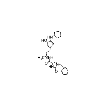 C[C@@H](CCc1ccc(NC2CCCCC2)c(O)c1)NC(=O)C1CN(Cc2ccccc2)C(=O)N1